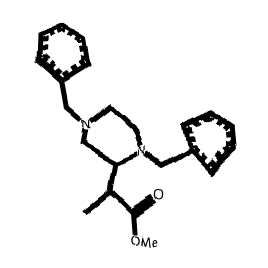 COC(=O)C(C)C1CN(Cc2ccccc2)CCN1Cc1ccccc1